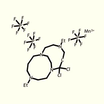 CCN1CCCN2CCN(CC)CCC(Cl)(Cl)N(CC1)CC2.F[P-](F)(F)(F)(F)F.F[P-](F)(F)(F)(F)F.F[P-](F)(F)(F)(F)F.[Mn+3]